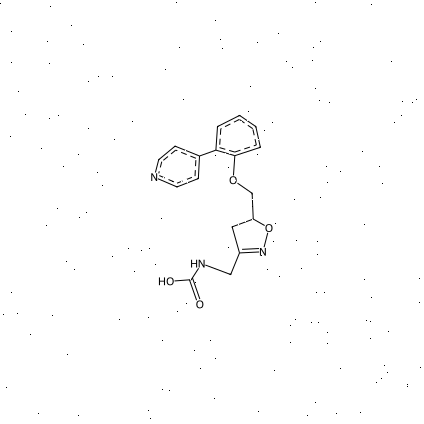 O=C(O)NCC1=NOC(COc2ccccc2-c2ccncc2)C1